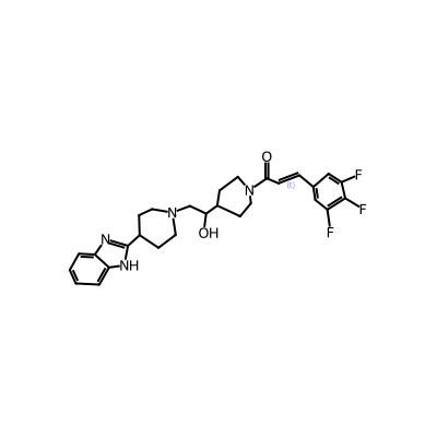 O=C(/C=C/c1cc(F)c(F)c(F)c1)N1CCC(C(O)CN2CCC(c3nc4ccccc4[nH]3)CC2)CC1